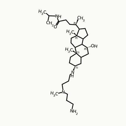 CC(C)NC(=O)CC[C@@H](C)C1CCC2C3C(CC[C@@]21C)[C@@]1(C)CC[C@H](NCCCN(C)CCCN)CC1C[C@H]3O